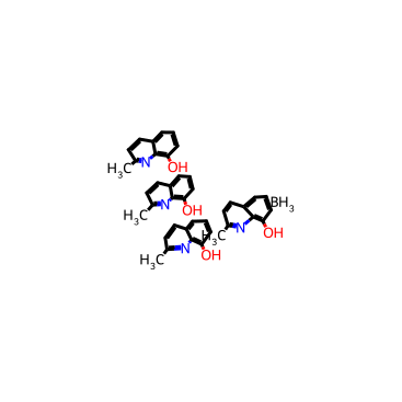 B.Cc1ccc2cccc(O)c2n1.Cc1ccc2cccc(O)c2n1.Cc1ccc2cccc(O)c2n1.Cc1ccc2cccc(O)c2n1